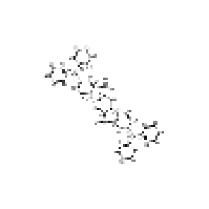 CC1(C)c2cc(N(C3=CC=CCC3)c3ccccc3)ccc2-c2cc3c(cc21)-c1ccc(N(c2ccccc2)c2ccccc2)cc1C3(C)C